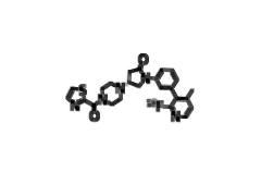 Cc1ccnc([18F])c1-c1cccc(N2C[C@H](N3CCN(C(=O)c4nccs4)CC3)CC2=O)c1